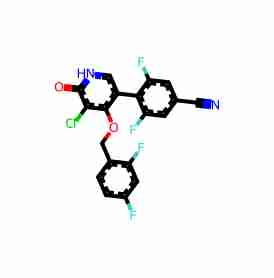 N#Cc1cc(F)c(-c2c[nH]c(=O)c(Cl)c2OCc2ccc(F)cc2F)c(F)c1